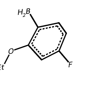 Bc1ccc(F)cc1OCC